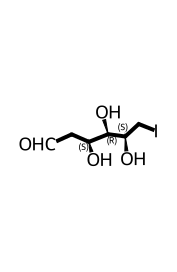 O=CC[C@H](O)[C@@H](O)[C@H](O)CI